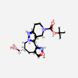 CC(C)(C)OC(=O)N1CCc2nn3c(c2C1)-c1nocc1C[C@H](CO)C3